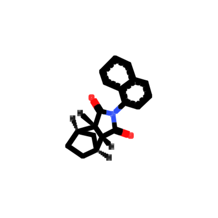 O=C1[C@@H]2[C@H]3CC[C@H](C3)[C@@H]2C(=O)N1c1cccc2ccccc12